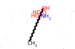 CCCCCCCCCCCCCC=CC(O)C(N)C(O)C(=O)CO